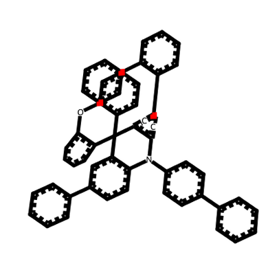 c1ccc(-c2ccc(N3c4ccc(-c5ccccc5)cc4C4(c5ccccc5Oc5ccccc54)c4cc(-c5ccccc5-c5ccccc5)ccc43)cc2)cc1